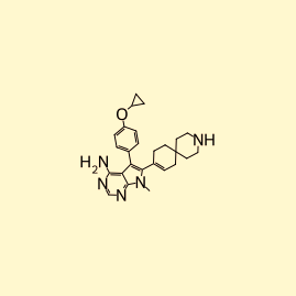 Cn1c(C2=CCC3(CCNCC3)CC2)c(-c2ccc(OC3CC3)cc2)c2c(N)ncnc21